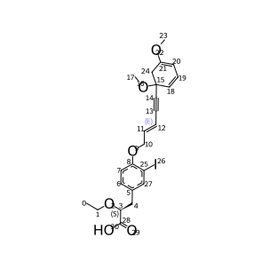 CCO[C@@H](Cc1ccc(OC/C=C/C#CC2(OC)C=CC=C(OC)C2)c(I)c1)C(=O)O